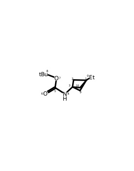 [CH2]CC12CC(NC(=O)OC(C)(C)C)(C1)C2